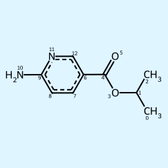 CC(C)OC(=O)c1ccc(N)nc1